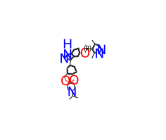 Cc1cnnc(C)c1[C@@H](C)Oc1ccc2[nH]nc(-c3ccc4c(c3)COC3(CCN(C(C)C)CC3)O4)c2c1